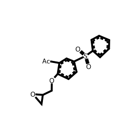 CC(=O)c1cc(S(=O)(=O)c2ccccc2)ccc1OCC1CO1